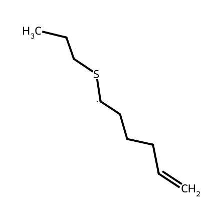 C=CCCC[CH]SCCC